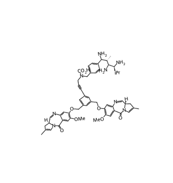 COc1cc2c(cc1OCc1cc(C#CCN(Cc3ccc(C(N)[C@H](C)C(N)[C@@H](N)C(C)C)cc3)C(=O)O)cc(COc3cc4c(cc3OC)C(=O)N3C=C(C)C[C@H]3C=N4)c1)N=C[C@@H]1CC(C)=CN1C2=O